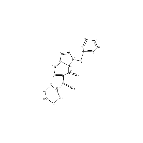 O=C(c1cnc2ccn(Cc3ccccc3)n2c1=O)N1CCOCC1